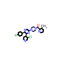 Cc1cccnc1C(=O)N1CCN(c2cnc(-c3ccc(F)cc3)c(-c3ccncc3Cl)n2)CC1